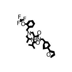 CC(C)C(=O)N1C(C)CN(Cc2ccccc2OC(F)(F)F)CC1C(=O)NCc1ccc(-c2ccco2)cc1